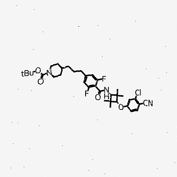 CC(C)(C)OC(=O)N1CCC(CCCc2cc(F)c(C(=O)N[C@H]3C(C)(C)[C@H](Oc4ccc(C#N)c(Cl)c4)C3(C)C)c(F)c2)CC1